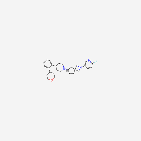 Fc1ccc(N2CC3(CC[C@@H](N4CCC(c5ccccc5C5CCOCC5)CC4)C3)C2)cn1